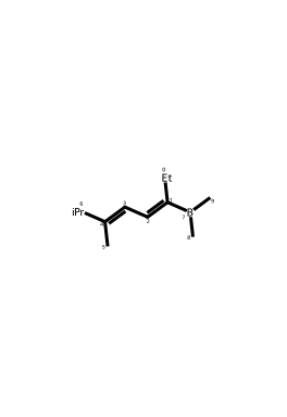 CC/C(=C\C=C(/C)C(C)C)B(C)C